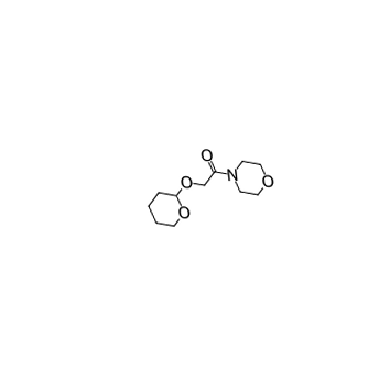 O=C(COC1CCCCO1)N1CCOCC1